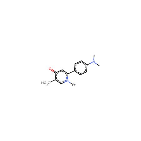 CCn1cc(C(=O)O)c(=O)cc1-c1ccc(N(C)C)cc1